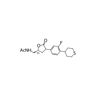 CC(=O)NC[C@@H]1CC(c2ccc(C3CCSCC3)c(F)c2)C(=O)O1